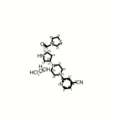 Cl.Cl.Cl.N#Cc1ccnc(N2CCN([C@@H]3CN[C@H](C(=O)N4CCSC4)C3)CC2)c1